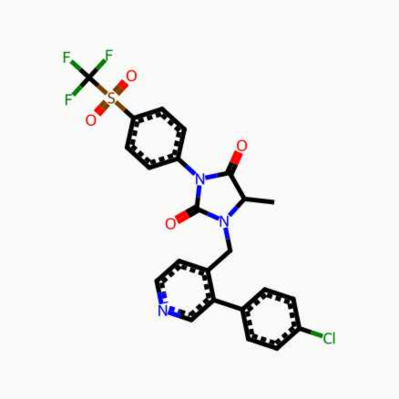 CC1C(=O)N(c2ccc(S(=O)(=O)C(F)(F)F)cc2)C(=O)N1Cc1ccncc1-c1ccc(Cl)cc1